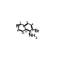 Nc1c(Br)ccc2cnccc12